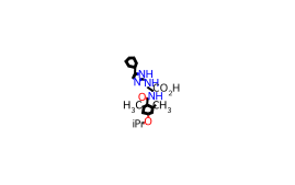 Cc1cc(OC(C)C)cc(C)c1C(=O)N[C@@H](CNc1ncc(-c2ccccc2)[nH]1)C(=O)O